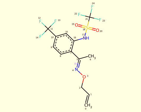 C=CCO/N=C(\C)c1ccc(C(F)(F)F)cc1NS(=O)(=O)C(F)(F)F